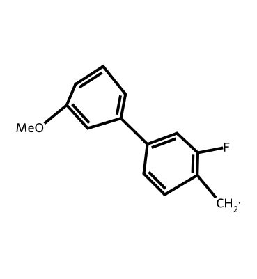 [CH2]c1ccc(-c2cccc(OC)c2)cc1F